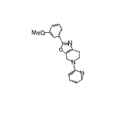 COc1cccc(-c2nc3c(o2)CN(c2ccccn2)CC3)c1